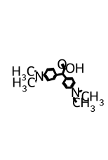 CCN(CC)c1ccc(C(C(=O)O)c2ccc(N(CC)CC)cc2)cc1